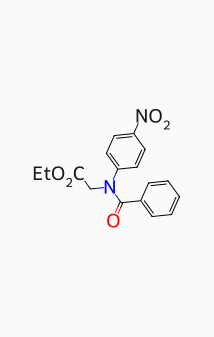 CCOC(=O)CN(C(=O)c1ccccc1)c1ccc([N+](=O)[O-])cc1